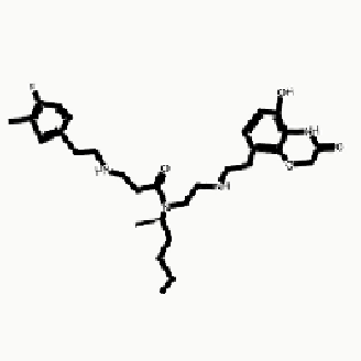 CCCC[C@@H](C)N(CCNCCc1ccc(O)c2c1OCC(=O)N2)C(=O)CCNCCc1ccc(F)c(C)c1